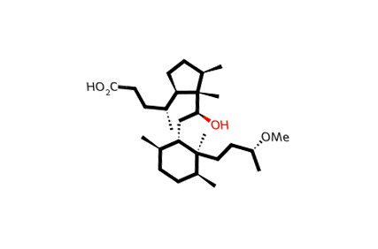 CO[C@H](C)CC[C@@]1(C)[C@@H](C)CC[C@@H](C)[C@@H]1C[C@H](O)[C@@]1(C)[C@H](C)CC[C@@H]1[C@H](C)CCC(=O)O